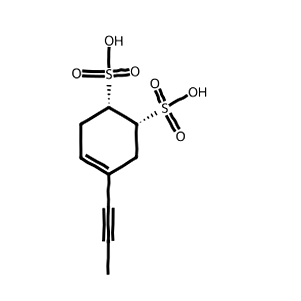 CC#CC1=CC[C@H](S(=O)(=O)O)[C@H](S(=O)(=O)O)C1